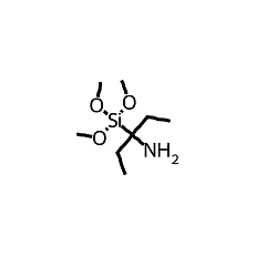 CCC(N)(CC)[Si](OC)(OC)OC